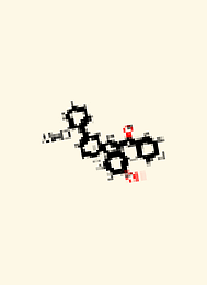 COc1ccccc1C1=CC=CC(C=CC(=O)c2ccccc2)(c2ccc(O)cc2)C1